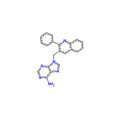 Nc1ncnc2c1ncn2Cc1cc2ccccc2nc1-c1ccccc1